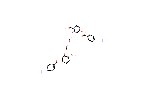 NC(=O)c1ccc(OC(=O)c2ccc(N)cc2)cc1OCCOCCOc1cc(OC(=O)c2ccc(N)cc2)ccc1C=O